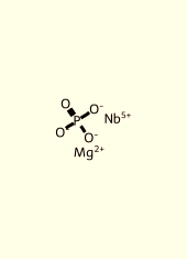 O=P([O-])([O-])[O-].[Mg+2].[Nb+5]